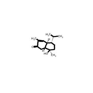 CC1=C[C@@H]2[C@@H](CC1=O)[C@](C)(O)CC[C@H]2C(C)C